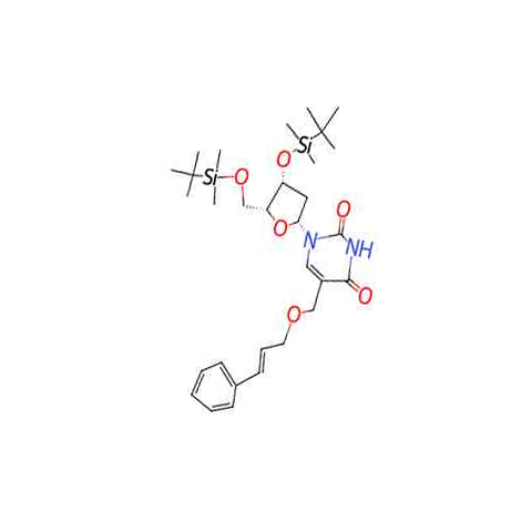 CC(C)(C)[Si](C)(C)OC[C@H]1O[C@@H](n2cc(COC/C=C/c3ccccc3)c(=O)[nH]c2=O)C[C@H]1O[Si](C)(C)C(C)(C)C